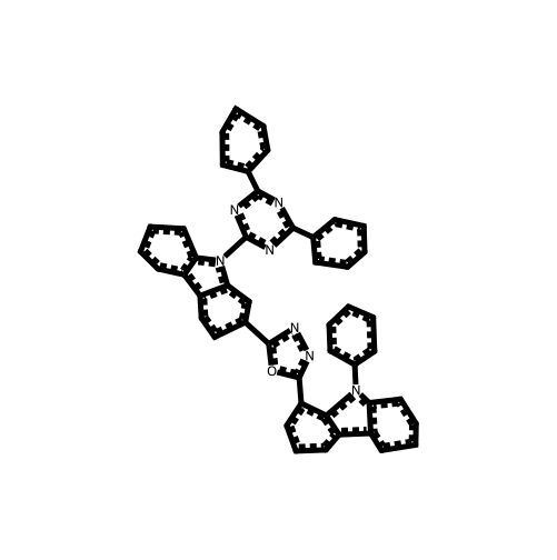 c1ccc(-c2nc(-c3ccccc3)nc(-n3c4ccccc4c4ccc(-c5nnc(-c6cccc7c8ccccc8n(-c8ccccc8)c67)o5)cc43)n2)cc1